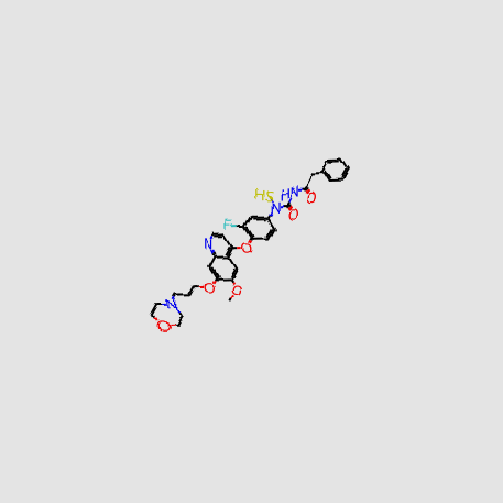 COc1cc2c(Oc3ccc(N(S)C(=O)NC(=O)Cc4ccccc4)cc3F)ccnc2cc1OCCCN1CCOCC1